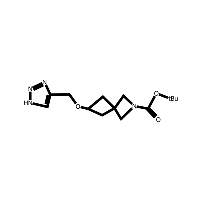 CC(C)(C)OC(=O)N1CC2(CC(OCc3c[nH]nn3)C2)C1